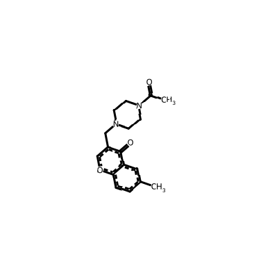 CC(=O)N1CCN(Cc2coc3ccc(C)cc3c2=O)CC1